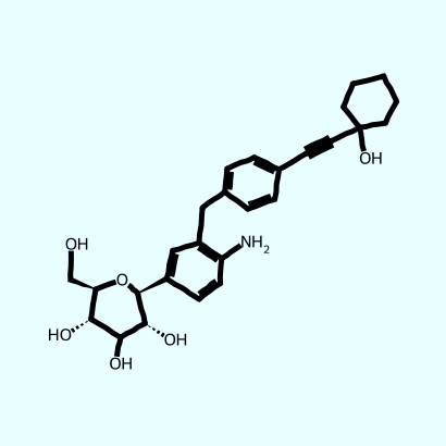 Nc1ccc([C@@H]2O[C@H](CO)[C@@H](O)C(O)[C@H]2O)cc1Cc1ccc(C#CC2(O)CCCCC2)cc1